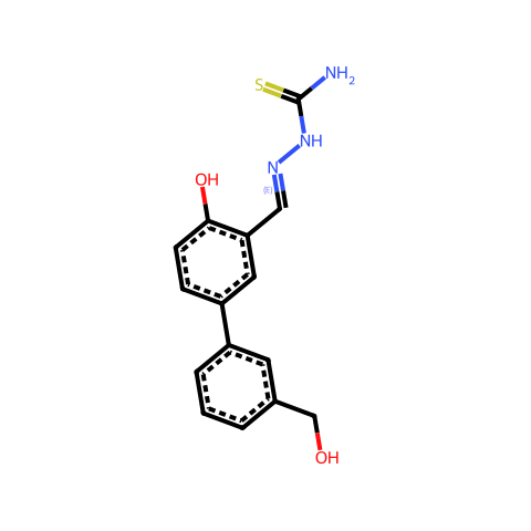 NC(=S)N/N=C/c1cc(-c2cccc(CO)c2)ccc1O